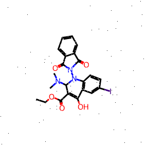 CCOC(=O)C1=C(O)c2cc(I)ccc2N(N2C(=O)c3ccccc3C2=O)C1N(C)C